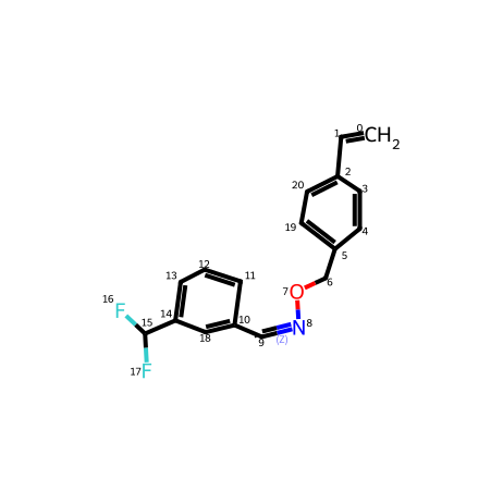 C=Cc1ccc(CO/N=[C]\c2cccc(C(F)F)c2)cc1